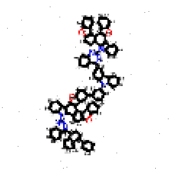 c1ccc(-c2ccc(-c3nc(-n4c5ccccc5c5c6oc7ccc(-c8cccc(-n9c%10ccccc%10c%10cc(-c%11nc(-n%12c%13ccccc%13c%13c%14oc%15ccccc%15c%14c%14c(ccc%15oc%16ccccc%16c%15%14)c%13%12)nc%12ccccc%11%12)ccc%109)c8)cc7c6c6c(ccc7oc8ccccc8c76)c54)nc4ccccc34)c3ccccc23)cc1